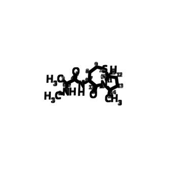 CN[C@@H](C)C(=O)N[C@H]1CCS[C@H]2CCC(C)N2C1=O